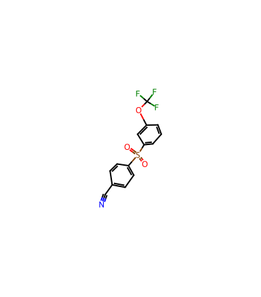 N#Cc1ccc(S(=O)(=O)c2cccc(OC(F)(F)F)c2)cc1